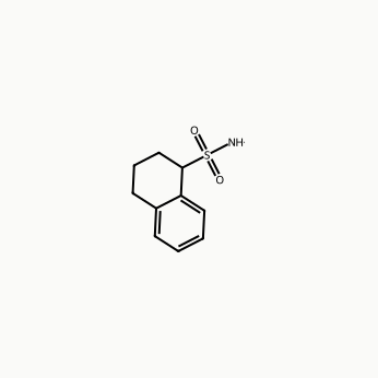 [NH]S(=O)(=O)C1CCCc2ccccc21